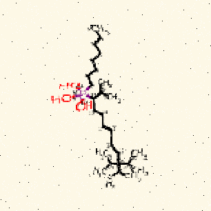 CCCCCCCCP(O)(O)(O)C(CCCCCCC(C(C)C)(C(C)C)C(C)C)C(C)C